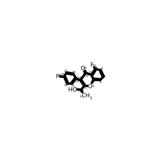 CC(O)c1oc2cccc(F)c2c(=O)c1-c1ccc(F)cc1